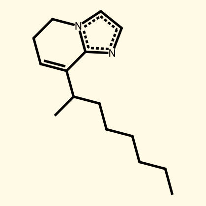 CCCCCCC(C)C1=CCCn2ccnc21